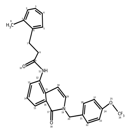 Cc1ccccc1CCC(=O)Nc1cccc2c(=O)n(Cc3ccc(OC(F)(F)F)cc3)ccc12